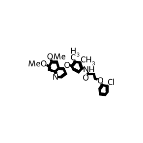 COc1cc2nccc(Oc3ccc(NC(=O)CCOc4ccccc4Cl)c(C)c3C)c2cc1OC